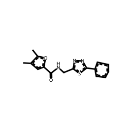 Cc1cc(C(=O)NCc2nnc(-c3ccccc3)s2)oc1C